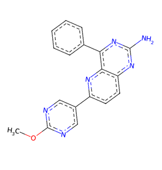 COc1ncc(-c2ccc3nc(N)nc(-c4ccccc4)c3n2)cn1